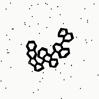 c1ccc2cc3c(cc2c1)oc1cccc(-c2c4ccccc4c(-c4ccc(-c5cccc6ccccc56)c5ccccc45)c4ccccc24)c13